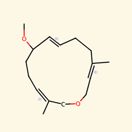 COC1/C=C/CC/C(C)=C/COC/C(C)=C\CC1